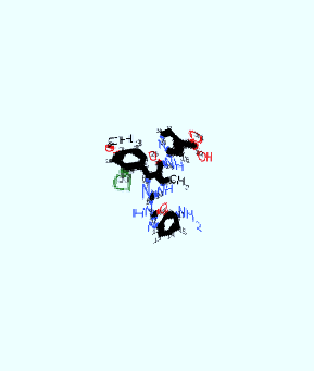 COc1ccc(C2N=C(Nc3nc4cccc(N)c4o3)NC(C)=C2C(=O)Nc2cc(C(=O)O)ccn2)c(Cl)c1